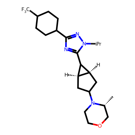 CC(C)n1nc(C2CCC(C(F)(F)F)CC2)nc1C1[C@H]2CC(N3CCOC[C@H]3C)C[C@@H]12